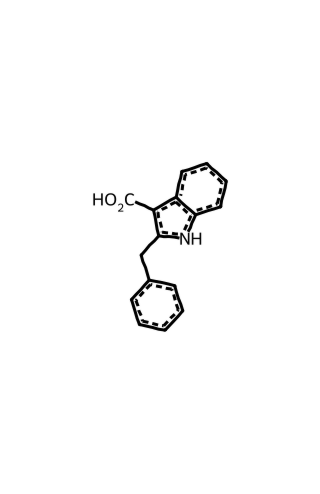 O=C(O)c1c(Cc2ccccc2)[nH]c2ccccc12